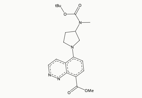 COC(=O)c1ccc(N2CCC(N(C)C(=O)OC(C)(C)C)C2)c2ccnnc12